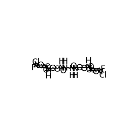 Cc1cc(S(=O)(=O)NCCOCCOCCNC(=O)NCCCCNC(=O)NCCOCCOCCNS(=O)(=O)c2ccc(O[C@@H]3CCc4c(F)cc(Cl)cc43)c(C)c2)ccc1O[C@@H]1CCc2c(F)cc(Cl)cc21